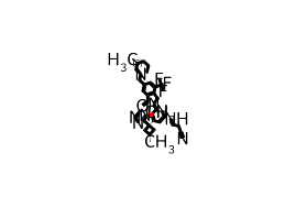 C[C@H]1CCCN(Cc2cc3c(c(C(F)(F)F)c2)CN(c2cc([C@]4(c5nncn5C)C[C@H](C)C4)cc(NCCC#N)n2)C3=O)C1